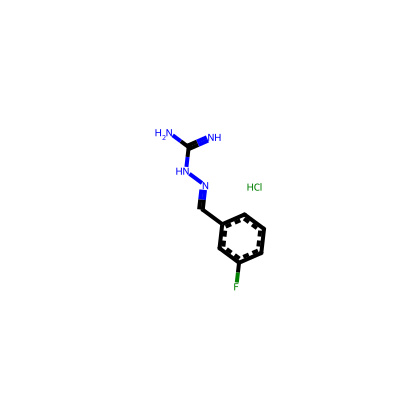 Cl.N=C(N)N/N=C/c1cccc(F)c1